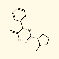 CN1CCC[C@H]1C(=O)N[C@H](C(N)=O)c1ccccc1